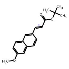 COc1ccc2cc(/C=C/C(=O)OC(C)(C)C)ccc2c1